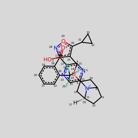 O=C(O)c1cnc(N2C3CC[C@H]2CC(OCc2c(-c4ccccc4C(F)(F)F)noc2C2CC2)C3)cn1